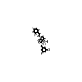 O=C(NCc1cc(F)cc(Cl)c1)C1(O)CCN(CCc2ccc(F)cc2F)C1=O